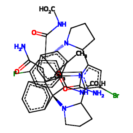 CC1(CC(N)=O)c2ccc(cc2)[C@]1(C(=O)NC(=O)O)N1CCCC1c1cc(Br)c(C2CCCN2[C@@]2(C(=O)NC(=O)O)c3ccc(cc3)C2(C)CC(N)=O)n1-c1ccc(F)cc1